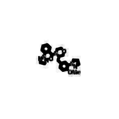 COc1ccc(CC2COCCN2C(=O)c2ccccc2-n2nccn2)cc1-n1cccn1